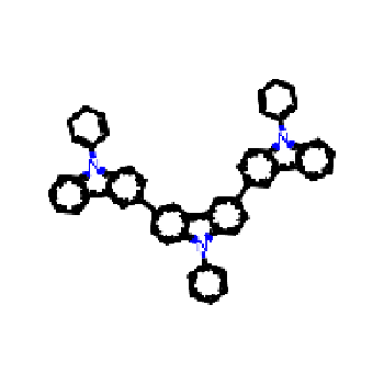 C1=CC(n2c3ccccc3c3cc(-c4ccc5c(c4)c4cc(-c6ccc7c(c6)c6ccccc6n7C6=CCCC=C6)ccc4n5-c4ccccc4)ccc32)=CCC1